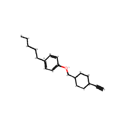 C#CC1CCC(COc2ccc(CCCCC)cc2)CC1